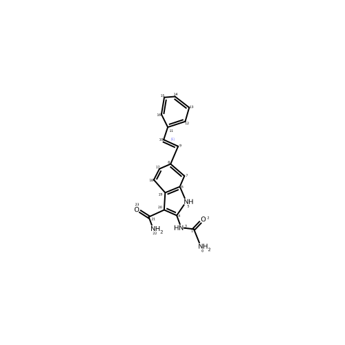 NC(=O)Nc1[nH]c2cc(/C=C/c3ccccc3)ccc2c1C(N)=O